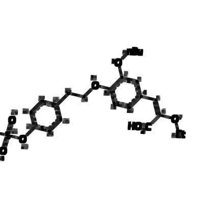 CCCCOc1cc(/C=C(/OCC)C(=O)O)ccc1OCCc1ccc(OS(C)(=O)=O)cc1